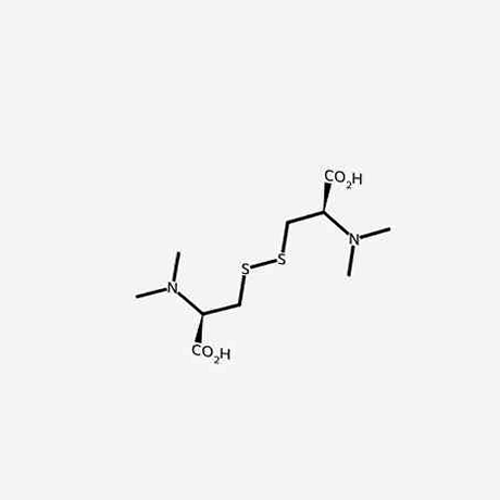 CN(C)[C@@H](CSSC[C@@H](C(=O)O)N(C)C)C(=O)O